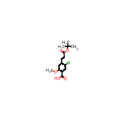 COc1cc(C=CC(=O)OC(C)(C)C)c(Br)cc1C(=O)O